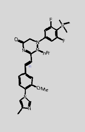 CCCN1C(/C=C/c2ccc(-n3cnc(C)c3)c(OC)c2)=NC(=O)CN1c1cc(F)c([Si](C)(C)C)c(F)c1